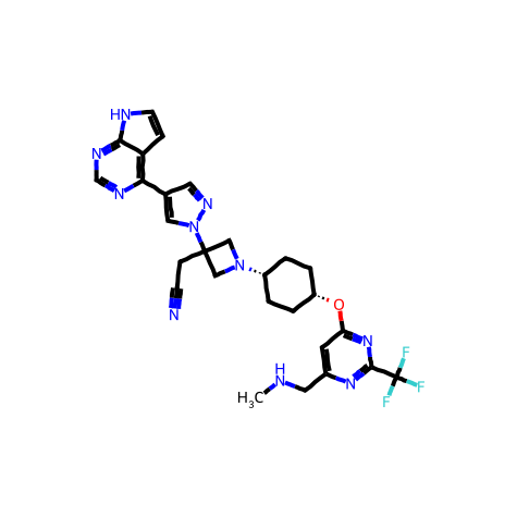 CNCc1cc(O[C@H]2CC[C@@H](N3CC(CC#N)(n4cc(-c5ncnc6[nH]ccc56)cn4)C3)CC2)nc(C(F)(F)F)n1